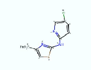 CCOC(=O)c1csc(Nc2ccc(Cl)cn2)n1